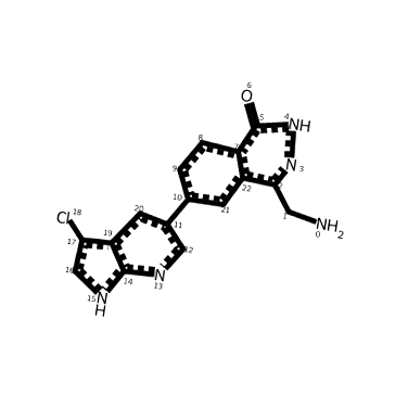 NCc1n[nH]c(=O)c2ccc(-c3cnc4[nH]cc(Cl)c4c3)cc12